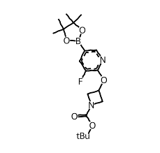 CC(C)(C)OC(=O)N1CC(Oc2ncc(B3OC(C)(C)C(C)(C)O3)cc2F)C1